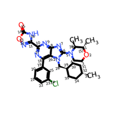 C[C@@H]1OCCN(c2nc3nc(-c4noc(=O)[nH]4)nc(-c4cccc(Cl)c4)c3n2C[C@H]2CC[C@H](C)CC2)[C@H]1C